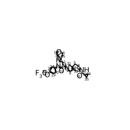 O=C(N[SH]1CCC2=C(C=CN(N(CCN3CCOCC3)C(=O)Nc3ccc(OC(F)(F)F)cc3)C2)C1)C1CC1